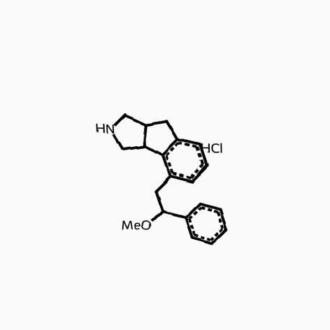 COC(Cc1cccc2c1C1CNCC1C2)c1ccccc1.Cl